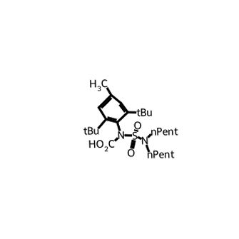 CCCCCN(CCCCC)S(=O)(=O)N(C(=O)O)c1c(C(C)(C)C)cc(C)cc1C(C)(C)C